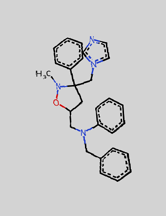 CN1OC(CN(Cc2ccccc2)c2ccccc2)CC1(Cn1ccnc1)c1ccccc1